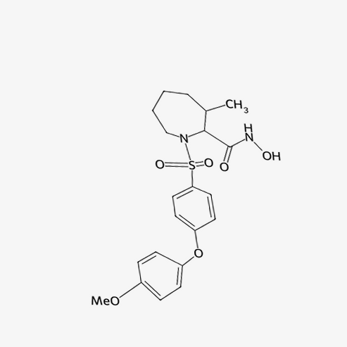 COc1ccc(Oc2ccc(S(=O)(=O)N3CCCCC(C)C3C(=O)NO)cc2)cc1